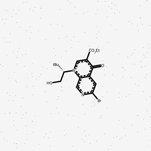 CCOC(=O)c1cn([C@H](CO)C(C)(C)C)c2cnc(Br)cc2c1=O